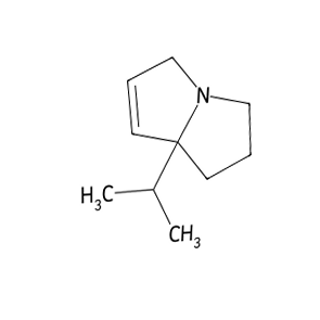 CC(C)C12C=CCN1CCC2